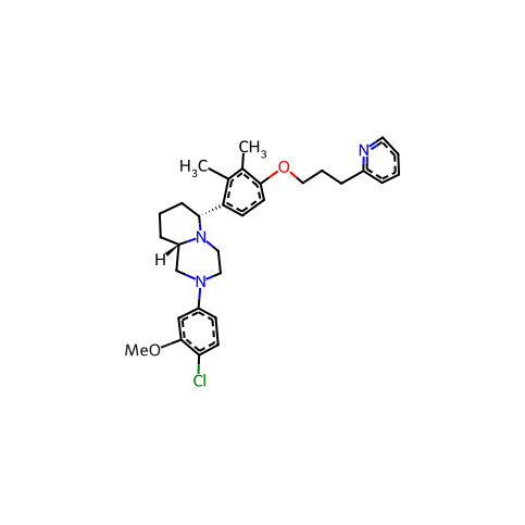 COc1cc(N2CCN3[C@@H](CCC[C@@H]3c3ccc(OCCCc4ccccn4)c(C)c3C)C2)ccc1Cl